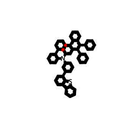 c1ccc(-c2ccccc2N(c2cccc(-c3cccc4c3sc3ccccc34)c2)c2ccc3c(c2)c(-c2ccccc2)c(-c2ccccc2)c2ccccc23)cc1